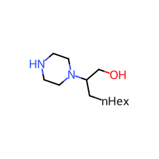 CCCCCCCC(CO)N1CCNCC1